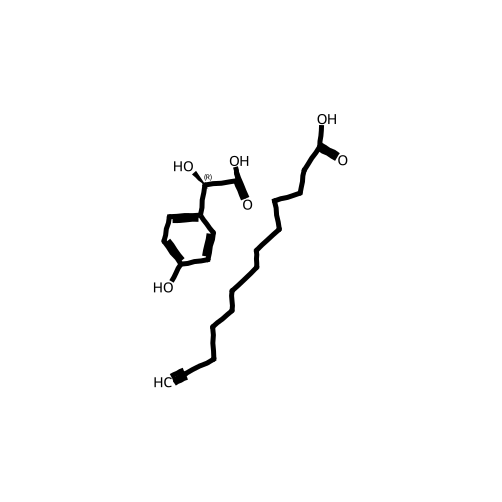 C#CCCCCCCCCCCC(=O)O.O=C(O)[C@H](O)c1ccc(O)cc1